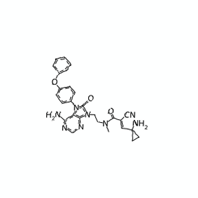 CN(CCn1c(=O)n(-c2ccc(Oc3ccccc3)cc2)c2c(N)ncnc21)C(=O)C(C#N)=CC1(N)CC1